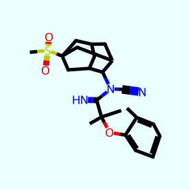 Cc1ccccc1OC(C)(C)C(=N)N(C#N)C1C2CC3CC1CC(S(C)(=O)=O)(C3)C2